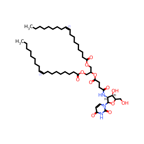 CCCCCCCC/C=C\CCCCCCCC(=O)OCC(COC(=O)CCCCCCC/C=C\CCCCCCCC)OC(=O)CCC(=O)N[C@@H]1C(n2ccc(=O)[nH]c2=O)OC(CO)[C@@H]1O